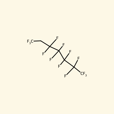 FC(F)(F)CC(F)(F)C(F)(F)C(F)(F)C(F)(F)C(F)(F)F